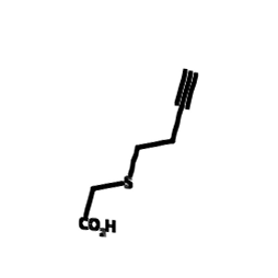 C#CCCSCC(=O)O